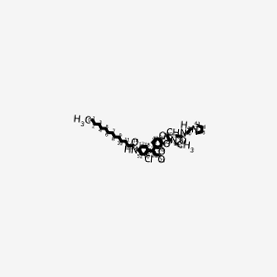 CCCCCCCCCCCCCC(=O)Nc1ccc(-c2cc(=O)oc3cc(O[C@H](C)C(=O)N(CC)CC(=O)NCCN4CCCC4)ccc23)c(Cl)c1